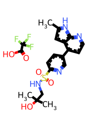 Cc1cc2c(-c3ccc(S(=O)(=O)NCC(C)(C)O)nc3)ccnc2[nH]1.O=C(O)C(F)(F)F